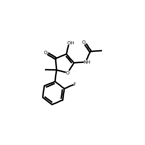 CC(=O)NC1=C(O)C(=O)C(C)(c2ccccc2F)O1